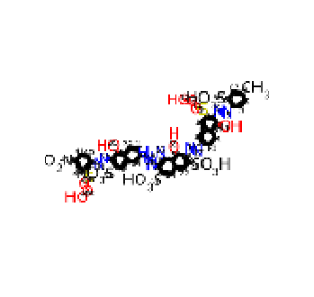 Cc1ccc(N=Nc2c(SOOO)cc3cc(N=Nc4c(S(=O)(=O)O)cc5cc(S(=O)(=O)O)c(N=Nc6ccc7c(O)c(N=Nc8ccc([N+](=O)[O-])cc8SOOO)c(S(=O)(=O)O)cc7c6)c(N)c5c4O)ccc3c2O)c(S(=O)(=O)O)c1